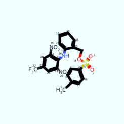 Cc1ccc(S(=O)(=O)OCc2ccccc2Nc2c([N+](=O)[O-])cc(C(F)(F)F)cc2[N+](=O)[O-])cc1